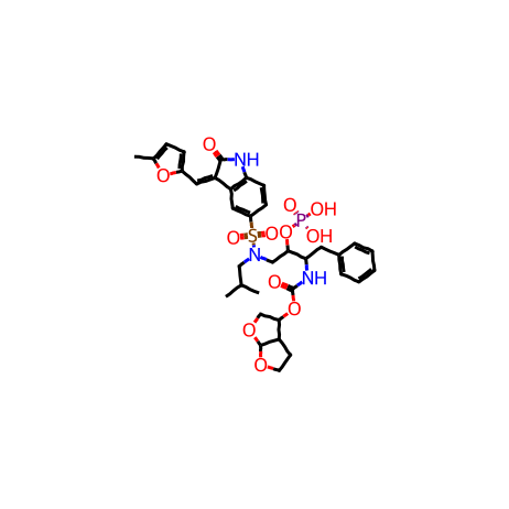 Cc1ccc(C=C2C(=O)Nc3ccc(S(=O)(=O)N(CC(C)C)CC(OP(=O)(O)O)C(Cc4ccccc4)NC(=O)OC4COC5OCCC45)cc32)o1